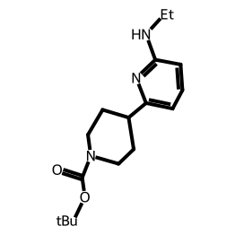 CCNc1cccc(C2CCN(C(=O)OC(C)(C)C)CC2)n1